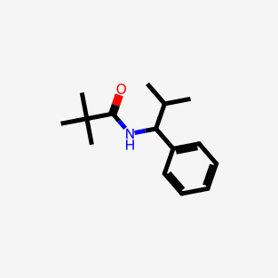 CC(C)C(NC(=O)C(C)(C)C)c1ccccc1